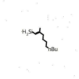 CCCCCCCCC(C)=C[SiH2]